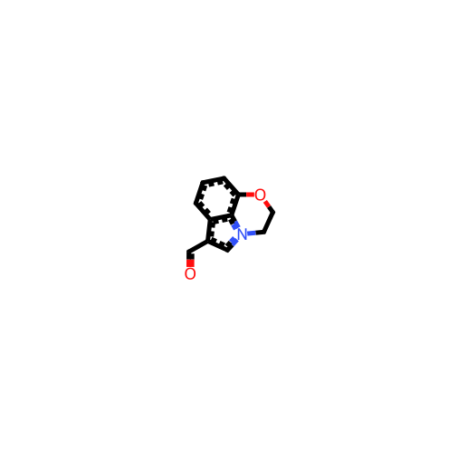 O=Cc1cn2c3c(cccc13)OCC2